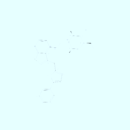 OC[C@H]1O[C@@H](O)[C@H](OOc2cccc3[nH]cc(Cc4ccc(-c5ccccc5)s4)c23)[C@@H](O)[C@@H]1O